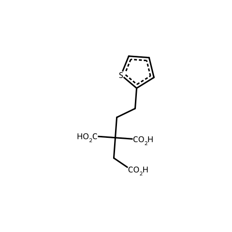 O=C(O)CC(CCc1cccs1)(C(=O)O)C(=O)O